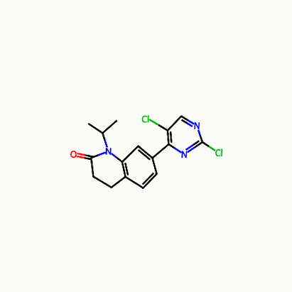 CC(C)N1C(=O)CCc2ccc(-c3nc(Cl)ncc3Cl)cc21